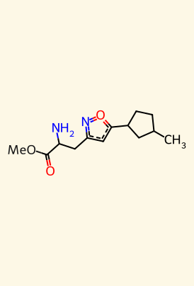 COC(=O)C(N)Cc1cc(C2CCC(C)C2)on1